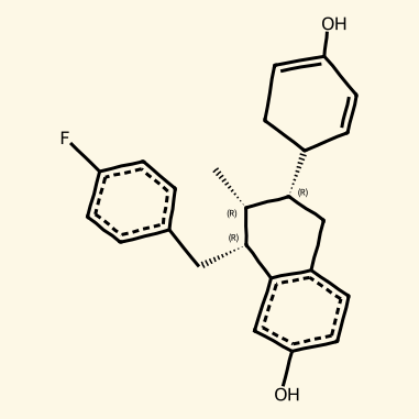 C[C@H]1[C@@H](Cc2ccc(F)cc2)c2cc(O)ccc2C[C@H]1C1C=CC(O)=CC1